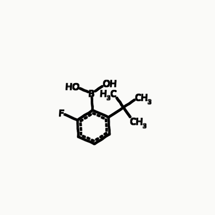 CC(C)(C)c1cccc(F)c1B(O)O